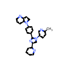 Cc1ccc(-n2cc(-c3ccccn3)nc2-c2ccc(-n3ccc4ncccc43)cc2)cn1